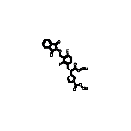 CC(C)(C)OC(=O)[C@@H](Cc1ccc(F)c(CON2C(=O)c3ccccc3C2=O)c1F)[C@H]1CCN(C(=O)OC(C)(C)C)C1